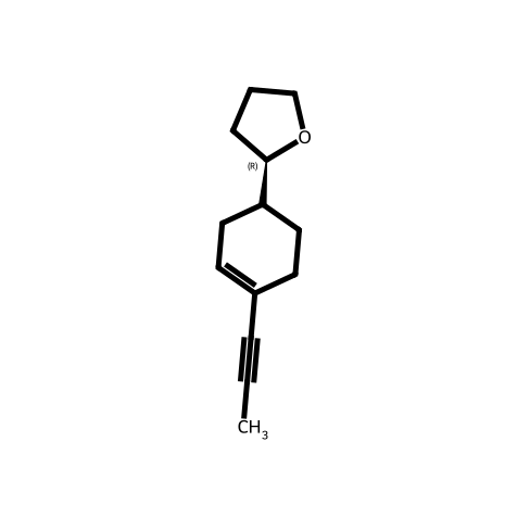 CC#CC1=CCC([C@H]2CCCO2)CC1